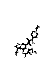 Cc1c(-c2cc(O[C@H](C)c3ccn(C)n3)c3c(C#N)cnn3c2)nnn1C1CCN(C#N)CC1